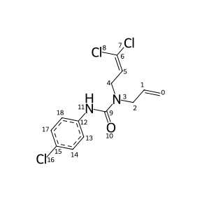 C=CCN(CC=C(Cl)Cl)C(=O)Nc1ccc(Cl)cc1